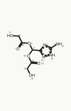 Nc1nc(C(OC(=O)CO)OC(=O)CO)n[nH]1